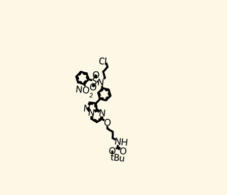 CC(C)(C)OC(=O)NCCCOc1ccn2ncc(-c3cccc(N(CCCCl)S(=O)(=O)c4ccccc4[N+](=O)[O-])c3)c2n1